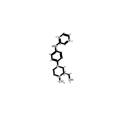 CN1CCN(c2ccc(Nc3cnccn3)cc2)C[C@H]1CO